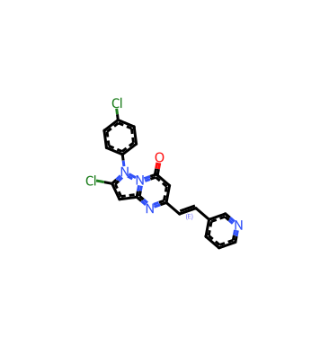 O=c1cc(/C=C/c2cccnc2)nc2cc(Cl)n(-c3ccc(Cl)cc3)n12